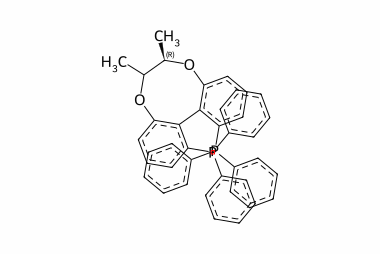 CC1Oc2cccc(P(c3ccccc3)c3ccccc3)c2-c2c(cccc2P(c2ccccc2)c2ccccc2)O[C@@H]1C